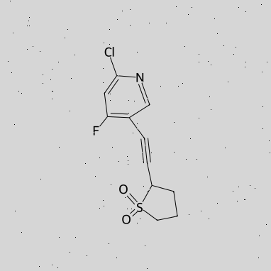 O=S1(=O)CCCC1C#Cc1cnc(Cl)cc1F